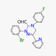 O=CC1N(c2ccc(F)cc2)CC(c2ccccn2)=NN1c1ccccc1Br